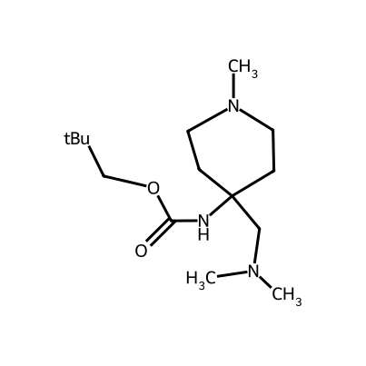 CN(C)CC1(NC(=O)OCC(C)(C)C)CCN(C)CC1